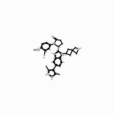 COc1ccc(N2C(=O)CC[C@H]2c2nc3cc(-c4c(C)noc4C)ccc3n2C2CC3(COC3)C2)cc1F